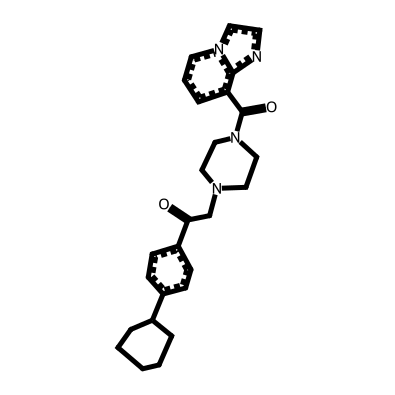 O=C(CN1CCN(C(=O)c2cccn3ccnc23)CC1)c1ccc(C2CCCCC2)cc1